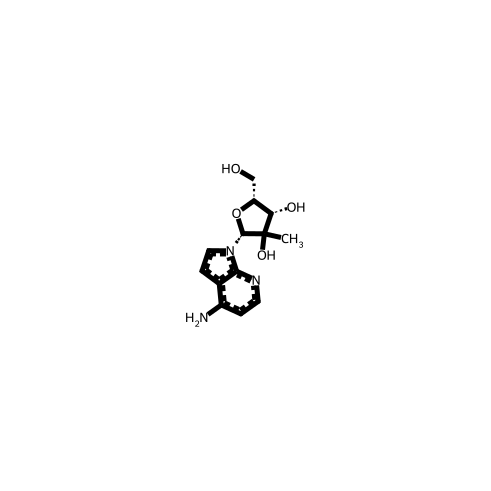 CC1(O)[C@@H](O)[C@@H](CO)O[C@H]1n1ccc2c(N)ccnc21